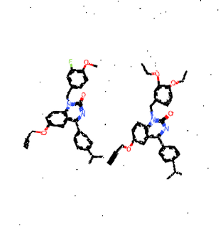 C#CCOc1ccc2c(c1)c(-c1ccc(C(C)C)cc1)nc(=O)n2Cc1ccc(OC)c(F)c1.C#CCOc1ccc2c(c1)c(-c1ccc(C(C)C)cc1)nc(=O)n2Cc1ccc(OCC)c(OCC)c1